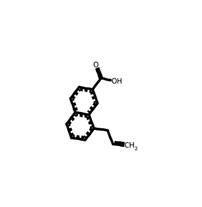 C=CCc1cccc2ccc(C(=O)O)cc12